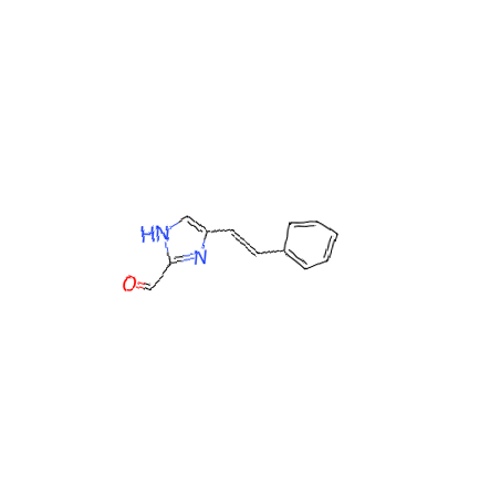 O=Cc1nc(C=Cc2ccccc2)c[nH]1